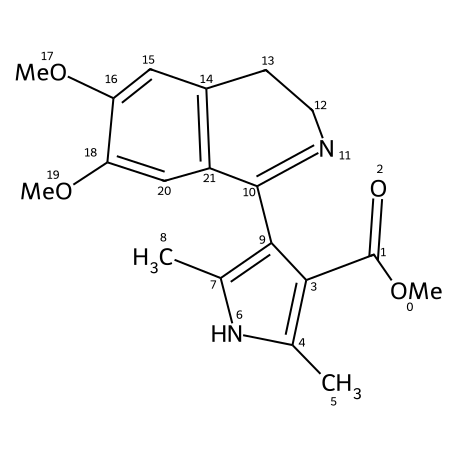 COC(=O)c1c(C)[nH]c(C)c1C1=NCCc2cc(OC)c(OC)cc21